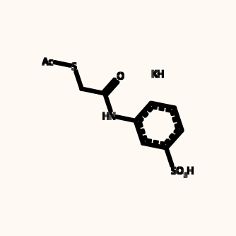 CC(=O)SCC(=O)Nc1cccc(S(=O)(=O)O)c1.[KH]